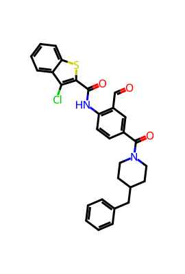 O=Cc1cc(C(=O)N2CCC(Cc3ccccc3)CC2)ccc1NC(=O)c1sc2ccccc2c1Cl